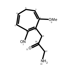 COC1=CCC=CC(N=O)=C1CC(=O)CN